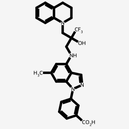 Cc1cc(NCC(O)(CN2CCCc3ccccc32)C(F)(F)F)c2cnn(-c3cccc(C(=O)O)c3)c2c1